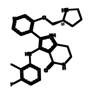 Cc1c(F)cccc1Nc1c(-c2ccncc2OC[C@@H]2CCCN2)[nH]c2c1C(=O)NCC2